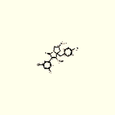 COC1=C(c2cc(Cl)cc(Cl)c2)C(=O)N2CC(NC(C)=O)CC12Cc1ccc(C#N)cc1